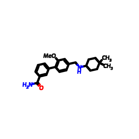 COc1cc(CNC2CCC(C)(C)CC2)ccc1-c1cccc(C(N)=O)c1